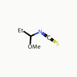 CCC(N=C=S)OC